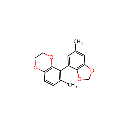 Cc1cc2c(c(-c3c(C)ccc4c3OCCO4)c1)OCO2